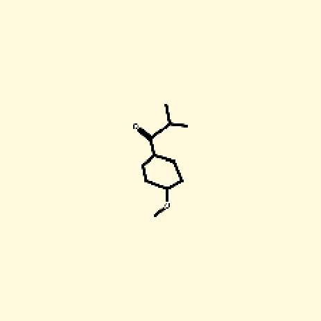 COC1CCC(C(=O)C(C)C)CC1